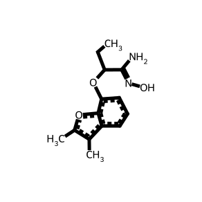 CCC(Oc1cccc2c(C)c(C)oc12)C(N)=NO